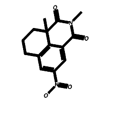 CN1C(=O)c2cc([N+](=O)[O-])cc3c2C(C)(CCC3)C1=O